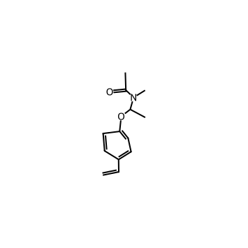 C=Cc1ccc(OC(C)N(C)C(C)=O)cc1